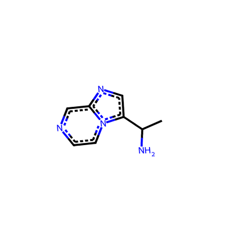 CC(N)c1cnc2cnccn12